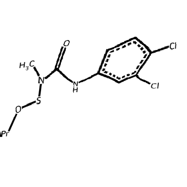 CC(C)OSN(C)C(=O)Nc1ccc(Cl)c(Cl)c1